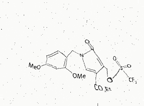 CCOC(=O)c1cn(Cc2ccc(OC)cc2OC)c(=O)cc1OS(=O)(=O)C(F)(F)F